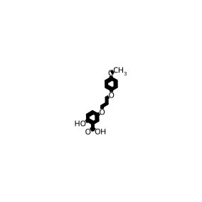 COc1ccc(OCCCOc2ccc(O)c(C(=O)O)c2)cc1